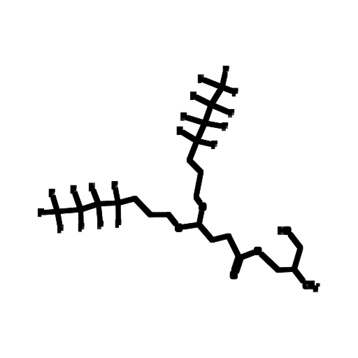 [CH2]C(CO)COC(=O)CCC(OCCCC(F)(F)C(F)(F)C(F)(F)C(F)(F)F)OCCCC(F)(F)C(F)(F)C(F)(F)C(F)(F)F